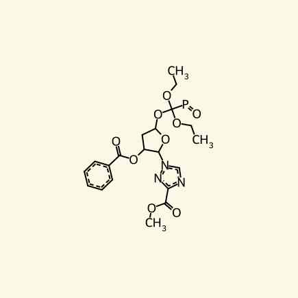 CCOC(OCC)(OC1CC(OC(=O)c2ccccc2)C(n2cnc(C(=O)OC)n2)O1)P=O